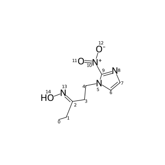 CCC(CCn1ccnc1[N+](=O)[O-])=NO